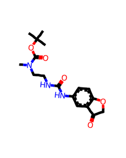 CN(CCNC(=O)Nc1ccc2c(c1)C(=O)CO2)C(=O)OC(C)(C)C